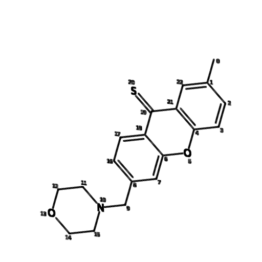 Cc1ccc2oc3cc(CN4CCOCC4)ccc3c(=S)c2c1